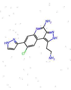 NCCc1[nH]nc2c(N)nc3cc(-c4cc[nH]n4)c(Cl)cc3c12